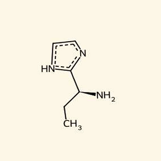 CC[C@H](N)c1ncc[nH]1